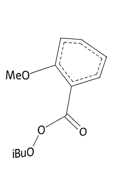 COc1ccccc1C(=O)OO[CH]C(C)C